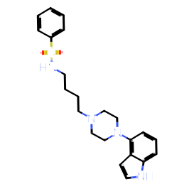 O=S(=O)(NCCCCN1CCN(c2cccc3[nH]ccc23)CC1)c1ccccc1